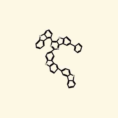 c1ccc(-c2ccc3oc4c(-c5cccc6oc7ccccc7c56)nc(-c5ccc6oc7ccc(-c8ccc9oc%10ccccc%10c9c8)cc7c6c5)nc4c3c2)cc1